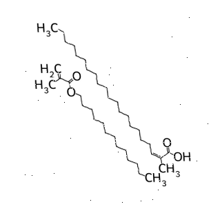 C=C(C)C(=O)OCCCCCCCCCCCCC.CCCCCCCCCCCCCCCCCCC=C(C)C(=O)O